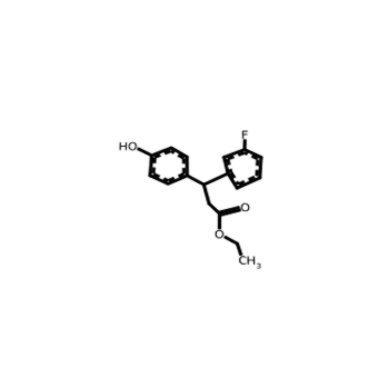 CCOC(=O)CC(c1ccc(O)cc1)c1cccc(F)c1